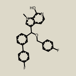 Cn1cc(C(OCc2ccc(F)cc2)c2cccc(-c3ccc(F)cc3)c2)c2ccnc(O)c21